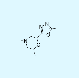 Cc1nnc(C2CNCC(C)O2)o1